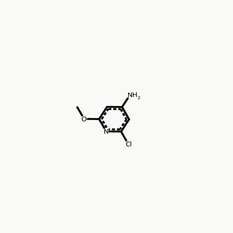 COc1cc(N)cc(Cl)n1